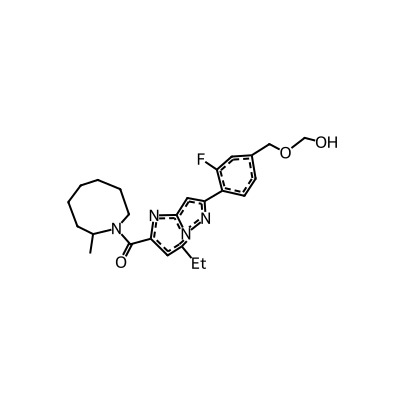 CCc1cc(C(=O)N2CCCCCCC2C)nc2cc(-c3ccc(COCO)cc3F)nn12